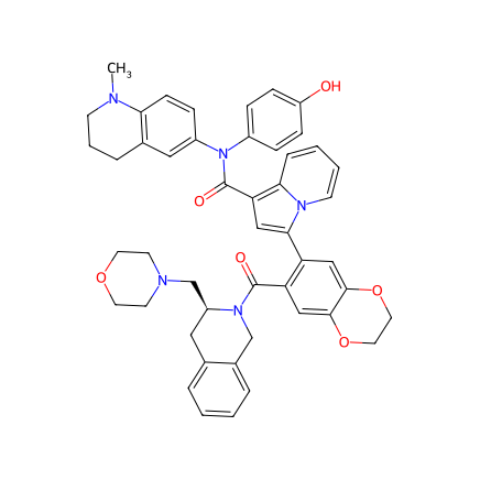 CN1CCCc2cc(N(C(=O)c3cc(-c4cc5c(cc4C(=O)N4Cc6ccccc6C[C@H]4CN4CCOCC4)OCCO5)n4ccccc34)c3ccc(O)cc3)ccc21